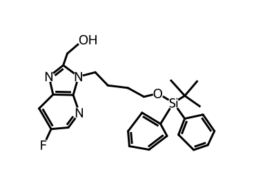 CC(C)(C)[Si](OCCCCn1c(CO)nc2cc(F)cnc21)(c1ccccc1)c1ccccc1